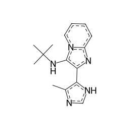 Cc1nc[nH]c1-c1nc2ccccn2c1NC(C)(C)C